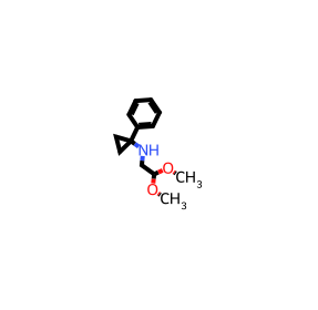 COC(CNC1(c2ccccc2)CC1)OC